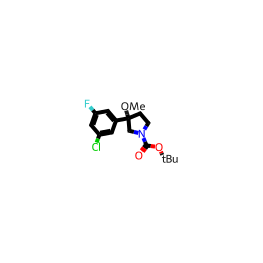 COC1(c2cc(F)cc(Cl)c2)CCN(C(=O)OC(C)(C)C)C1